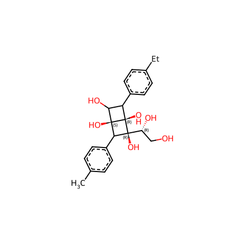 CCc1ccc(C2C(O)[C@@]3(O)C(c4ccc(C)cc4)[C@@](O)([C@H](O)CO)[C@@]23O)cc1